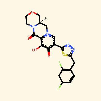 O=C1c2c(O)c(=O)c(-c3nnc(CC4=C(F)CC(F)C=C4)s3)cn2C[C@@H]2COCCN12